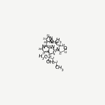 CCCCC(C)(O)c1cc(N2CCOC[C@H]2C)nc2c(-c3ccn[nH]3)nccc12